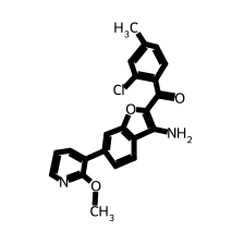 COc1ncccc1-c1ccc2c(N)c(C(=O)c3ccc(C)cc3Cl)oc2c1